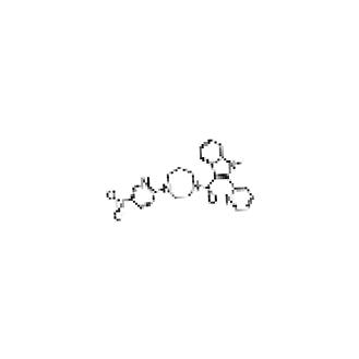 Cn1c(-c2ccccn2)c(C(=O)N2CCCN(c3ccc([N+](=O)[O-])cn3)CC2)c2ccccc21